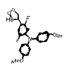 COc1ccc(N(c2ccc(OC)cc2)c2cc(F)c(C3BOOC3)cc2F)cc1